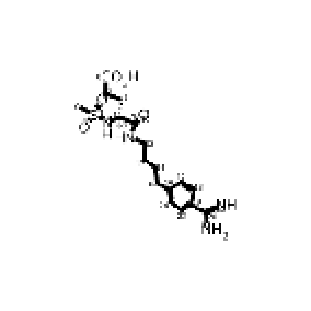 CS(=O)(=O)N[C@H](CCC(=O)O)C(=O)NCCCCc1ccc(C(=N)N)cc1